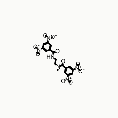 CN(CCNC(=O)c1cc([N+](=O)[O-])cc([N+](=O)[O-])c1)C(=O)c1cc([N+](=O)[O-])cc([N+](=O)[O-])c1